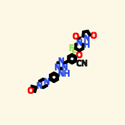 N#Cc1cc(-c2ncnc(Nc3ccc(N4CCN(C5COC5)CC4)cc3)n2)ccc1O[C@H]1CCN(C(=O)[C@@H]2CCC(=O)N2)CC1(F)F